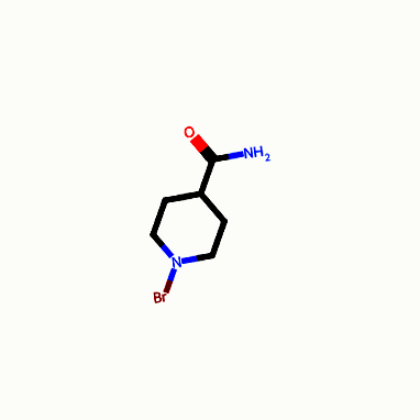 NC(=O)C1CCN(Br)CC1